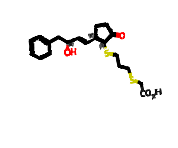 O=C(O)CSCCCS[C@H]1C(=O)CC[C@@H]1C=C[C@H](O)Cc1ccccc1